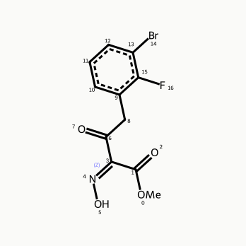 COC(=O)/C(=N\O)C(=O)Cc1cccc(Br)c1F